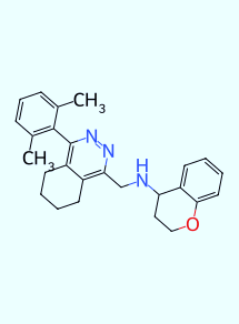 Cc1cccc(C)c1-c1nnc(CNC2CCOc3ccccc32)c2c1CCCC2